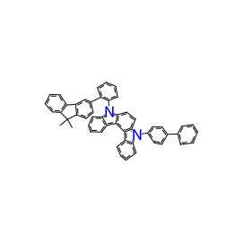 CC1(C)c2ccccc2-c2cc(-c3ccccc3-n3c4ccccc4c4c5c6ccccc6n(-c6ccc(-c7ccccc7)cc6)c5ccc43)ccc21